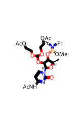 COP(OC1C(OC(OCCOC(C)=O)OCCOC(C)=O)[C@H](n2ccc(NC(C)=O)nc2=O)O[C@@H]1C)N(C(C)C)C(C)C